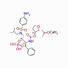 CC(C)=O.CC(C)CN(C[C@@H](OP(=O)(O)O)[C@H](Cc1ccccc1)NC(=O)O[C@H]1CCOC1)S(=O)(=O)c1ccc(N)cc1.[CaH2]